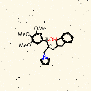 COc1cc([C@@H](O)[C@@H](CC2Cc3ccccc3C2)Cn2c[c]cc2)cc(OC)c1OC